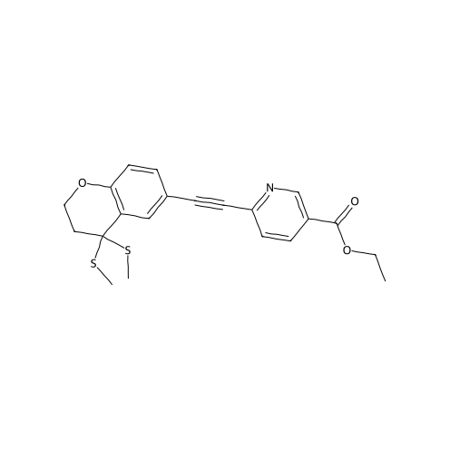 CCOC(=O)c1ccc(C#Cc2ccc3c(c2)C(SC)(SC)CCO3)nc1